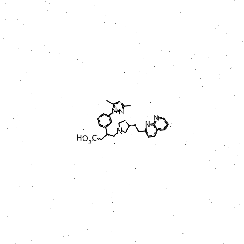 Cc1cc(C)n(-c2cccc(C(CC(=O)O)CN3CC[C@@H](CCc4ccc5cccnc5n4)C3)c2)n1